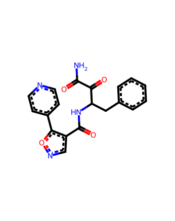 NC(=O)C(=O)C(Cc1ccccc1)NC(=O)c1cnoc1-c1ccncc1